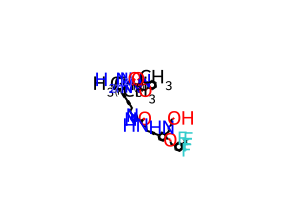 C/C=C\[C@H](C#CC#CCCn1cc(C(=O)NCCC#Cc2ccc(OCc3ccc(F)c(C(F)(F)F)c3)c(CNCCO)c2)cn1)C(C)N(C)/C(=N\N)C(=O)N[C@H]1COc2ccccc2N(C)C1=O